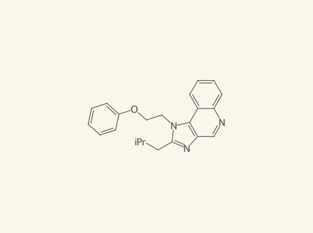 CC(C)Cc1nc2cnc3ccccc3c2n1CCOc1ccccc1